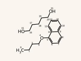 CCCCOc1cccc2ccccc12.OCCCCCO